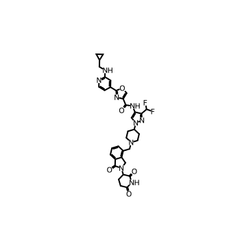 O=C1CCC(N2Cc3c(CN4CCC(n5cc(NC(=O)c6coc(-c7ccnc(NCC8CC8)c7)n6)c(C(F)F)n5)CC4)cccc3C2=O)C(=O)N1